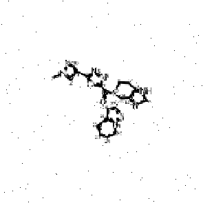 Cn1cc(-c2nnc(C(=O)N3CCc4[nH]cnc4[C@@H]3c3cc4ccccn4n3)o2)cn1